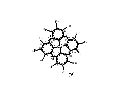 Fc1c(F)c(F)[c]([Ga-]([c]2c(F)c(F)c(F)c(F)c2F)([c]2c(F)c(F)c(F)c(F)c2F)[c]2c(F)c(F)c(F)c(F)c2F)c(F)c1F.[Ag+]